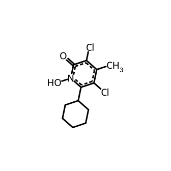 Cc1c(Cl)c(C2CCCCC2)n(O)c(=O)c1Cl